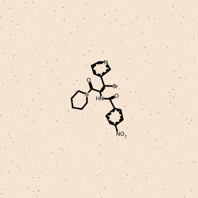 O=C(NC(C(=O)N1CCCCC1)=C(Br)c1cccnc1)c1ccc([N+](=O)[O-])cc1